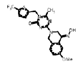 COc1ccc2c(c1)/C(=N/O)CN(c1nc(C)n(Cc3ccc(C(F)(F)F)s3)c(=O)n1)C2